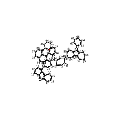 CC1C=CC(N(c2ccc(-c3cccc4sc5ccccc5c34)cc2)c2ccccc2-c2cccc3cccc(C4CCCCC4)c23)=CC1c1ccc2c(c1)c1ccccc1n2-c1ccccc1